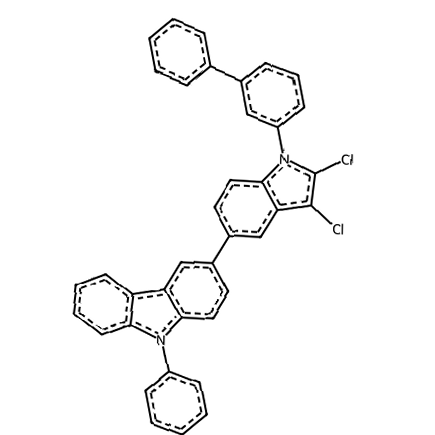 Clc1c(Cl)n(-c2cccc(-c3ccccc3)c2)c2ccc(-c3ccc4c(c3)c3ccccc3n4-c3ccccc3)cc12